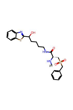 CC(C)N[C@@H](CS(=O)(=O)Cc1ccccc1)C(=O)NCCCCC(O)c1nc2ccccc2s1